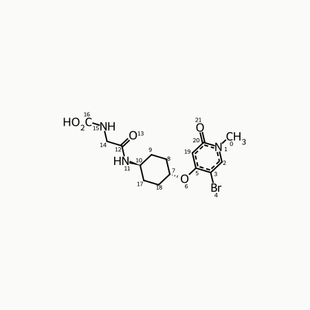 Cn1cc(Br)c(O[C@H]2CC[C@H](NC(=O)CNC(=O)O)CC2)cc1=O